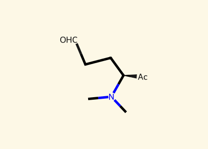 CC(=O)[C@H](CCC=O)N(C)C